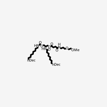 CCCCCCCCCCCCCCCCCCNC(=O)OCC(COC(=O)CCC(=O)NCCCOCCOC)NC(=O)CCCCCCCCCCCCCCCCC